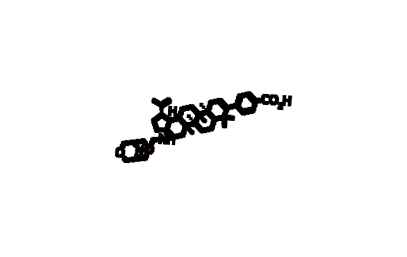 C=C(C)[C@@H]1CC[C@]2(NCCN3C4COCC3COC4)CC[C@]3(C)[C@H](CC[C@@]4(C)[C@@]3(C)CCC3C(C)(C)C(c5ccc(C(=O)O)cc5)=CC[C@@]34C)C12